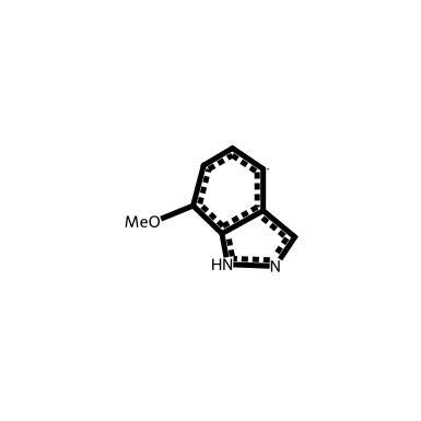 COc1cc[c]c2cn[nH]c12